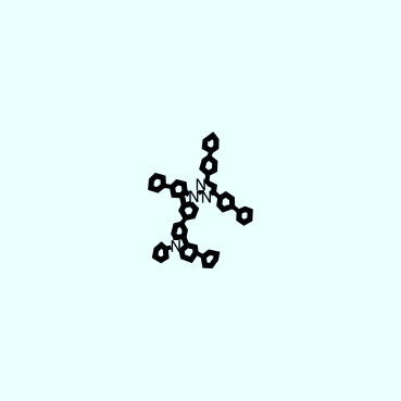 c1ccc(-c2ccc(-c3cc(-c4ccc(-c5ccccc5)cc4)nc(-n4c5ccc(-c6ccccc6)cc5c5cc(-c6ccc7c(c6)c6cc(-c8ccccc8)ccc6n7-c6ccccc6)ccc54)n3)cc2)cc1